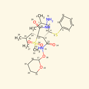 CC(C)CC(Sc1ccccc1)[C@H](C(=O)NOC1CCCCO1)[C@](CC(C)C)(C(=O)NN)S(C)(=O)=O